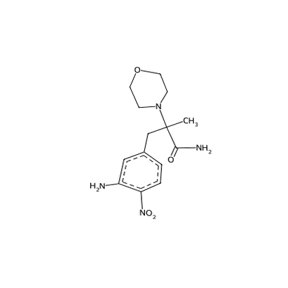 CC(Cc1ccc([N+](=O)[O-])c(N)c1)(C(N)=O)N1CCOCC1